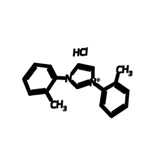 Cc1ccccc1-n1cc[n+](-c2ccccc2C)c1.Cl